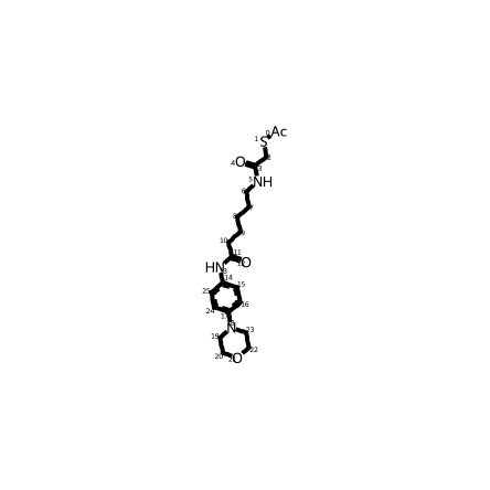 CC(=O)SCC(=O)NCCCCCC(=O)Nc1ccc(N2CCOCC2)cc1